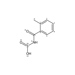 Cc1ccccc1C(=O)NS(=O)O